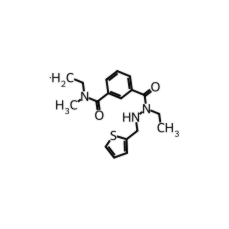 [CH2]CN(C)C(=O)c1cccc(C(=O)N(CC)NCc2cccs2)c1